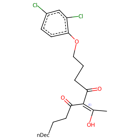 CCCCCCCCCCCCC(=O)/C(C(=O)CCCOc1ccc(Cl)cc1Cl)=C(/C)O